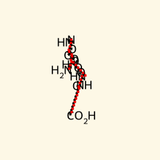 C=C(COCCOCCNC(=O)[C@H](CCCCN)CC(=O)C(C)(C)CC(=O)C(C)(C)CC(=O)CCc1cnc[nH]1)NCCCCNC(=O)CCCCCCCCCCCCCCCCC(=O)O